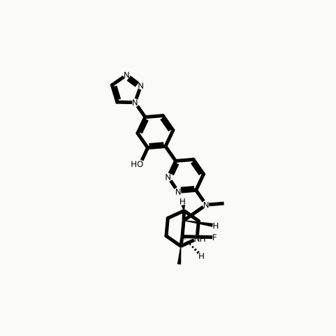 CN(c1ccc(-c2ccc(-n3ccnn3)cc2O)nn1)[C@H]1[C@@H]2CC[C@@](C)(NC2)[C@@H]1F